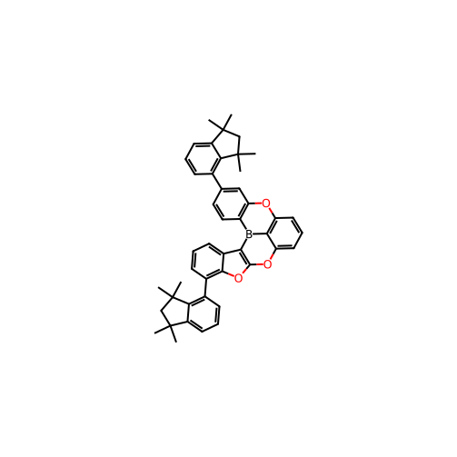 CC1(C)CC(C)(C)c2c(-c3ccc4c(c3)Oc3cccc5c3B4c3c(oc4c(-c6cccc7c6C(C)(C)CC7(C)C)cccc34)O5)cccc21